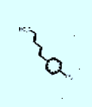 O=C(O)C=CC=Cc1ccc(C(F)(F)F)cc1